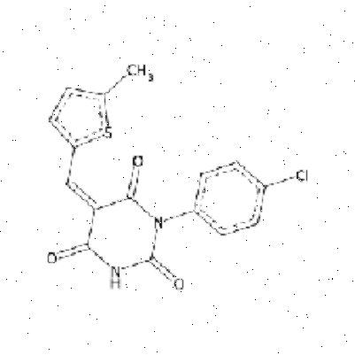 Cc1ccc(C=C2C(=O)NC(=O)N(c3ccc(Cl)cc3)C2=O)s1